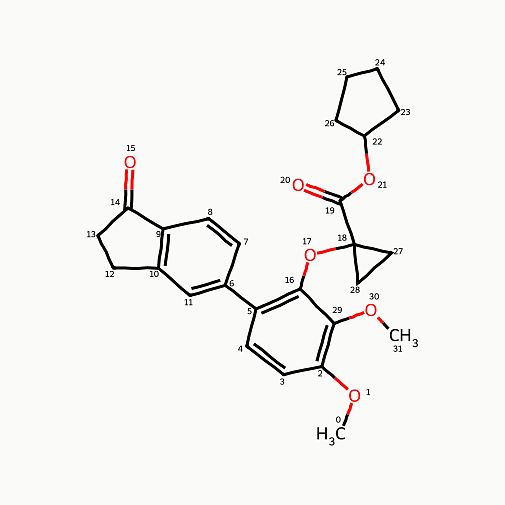 COc1ccc(-c2ccc3c(c2)CCC3=O)c(OC2(C(=O)OC3CCCC3)CC2)c1OC